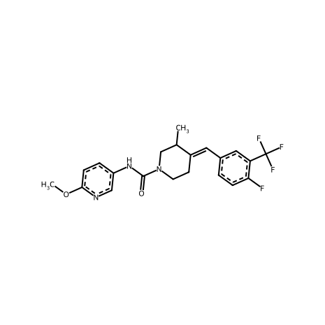 COc1ccc(NC(=O)N2CCC(=Cc3ccc(F)c(C(F)(F)F)c3)C(C)C2)cn1